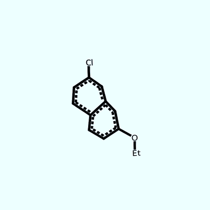 CCOc1ccc2ccc(Cl)cc2c1